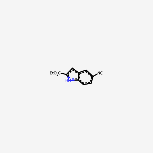 [C-]#[N+]c1ccc2[nH]c(C(=O)OCC)cc2c1